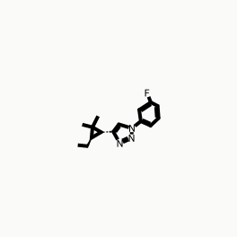 CC[C@@H]1[C@@H](c2cn(-c3cccc(F)c3)nn2)C1(C)C